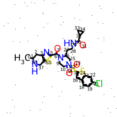 CC1Cc2nc(C(=O)N3CCN(S(=O)(=O)c4cc5ccc(Cl)cc5s4)CC3CCNC(=O)C3CC3)sc2CN1